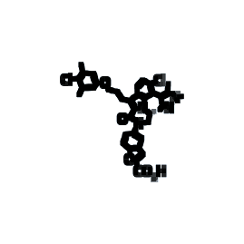 Cc1cc(OCCCc2c3n(c4c(-c5c(C)nn(C)c5C)c(Cl)ccc24)[C@H](C)CN(c2ccc4oc(C(=O)O)cc4c2)C3=O)cc(C)c1Cl